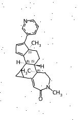 CN1CC[C@@]2(C)C(=CC1=O)C1CC1[C@H]1C3=CC=C(c4cccnc4)[C@@]3(C)CC[C@@H]12